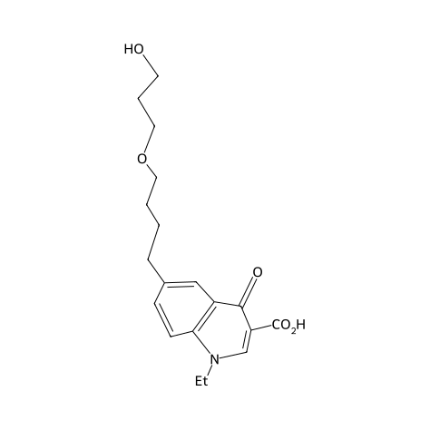 CCn1cc(C(=O)O)c(=O)c2cc(CCCCOCCCO)ccc21